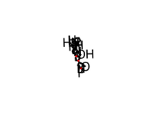 CN(c1ccc(-c2ccc(-c3ccn(CF)c(=O)c3)cc2O)nn1)[C@H]1C[C@H]2CCC[C@@H](C1)N2